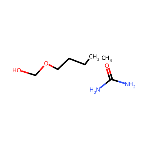 C.CCCCOCO.NC(N)=O